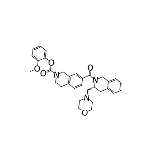 COc1ccccc1OC(=O)N1CCc2ccc(C(=O)N3Cc4ccccc4C[C@H]3CN3CCOCC3)cc2C1